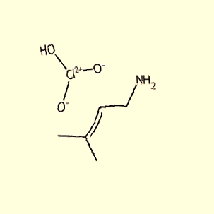 CC(C)=CCN.[O-][Cl+2]([O-])O